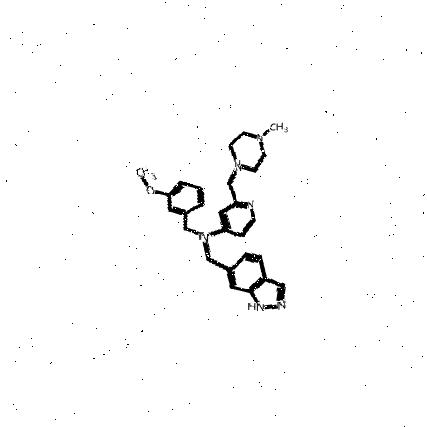 COc1cccc(CN(Cc2ccc3cn[nH]c3c2)c2ccnc(CN3CCN(C)CC3)c2)c1